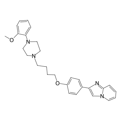 COc1ccccc1N1CCN(CCCCOc2ccc(-c3cn4ccccc4n3)cc2)CC1